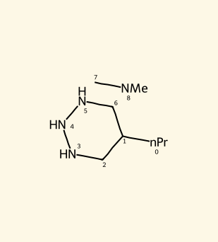 CCCC1CNNNC1.CNC